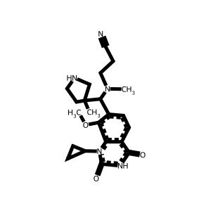 COc1c(C(N(C)CCC#N)C2(C)CCNC2)ccc2c(=O)[nH]c(=O)n(C3CC3)c12